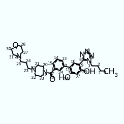 CCCCn1nnnc1-c1cc(-c2cccc(C(=O)N3CCN(CCCN4CCOCC4)CC3)c2)c(O)cc1O